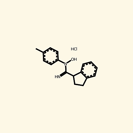 Cc1ccc(N(O)C(=N)C2CCc3ccccc32)cc1.Cl